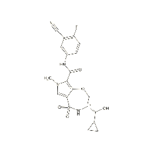 Cn1cc2c(c1C(=O)Nc1ccc(F)c(C#N)c1)OC[C@H](C(O)C1CC1)NS2(=O)=O